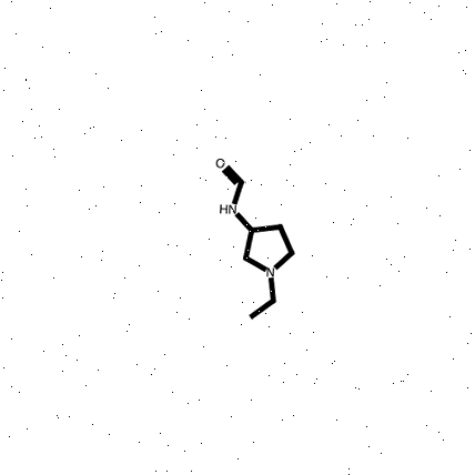 CCN1CCC(N[C]=O)C1